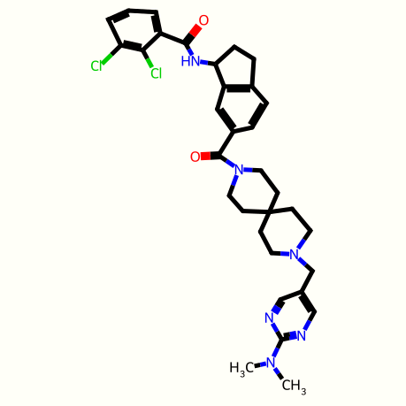 CN(C)c1ncc(CN2CCC3(CC2)CCN(C(=O)c2ccc4c(c2)C(NC(=O)c2cccc(Cl)c2Cl)CC4)CC3)cn1